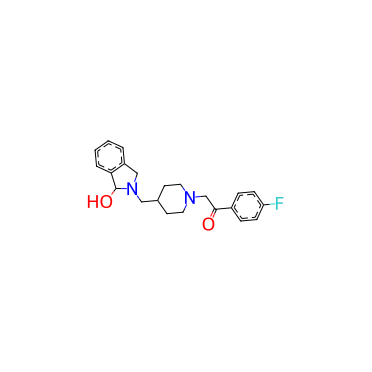 O=C(CN1CCC(CN2Cc3ccccc3C2O)CC1)c1ccc(F)cc1